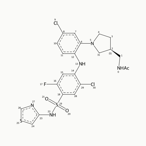 CC(=O)NC[C@@H]1CCN(c2cc(Cl)ccc2Nc2cc(F)c(S(=O)(=O)Nc3cscn3)cc2Cl)C1